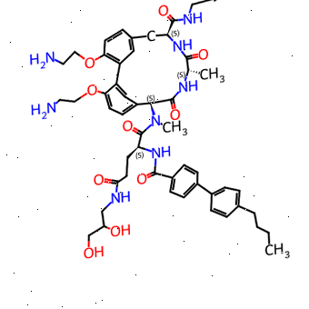 CCCCc1ccc(-c2ccc(C(=O)N[C@@H](CCC(=O)NCC(O)CO)C(=O)N(C)[C@@H]3C(=O)N[C@@H](C)C(=O)N[C@H](C(=O)NCC#N)Cc4ccc(OCCN)c(c4)-c4cc3ccc4OCCN)cc2)cc1